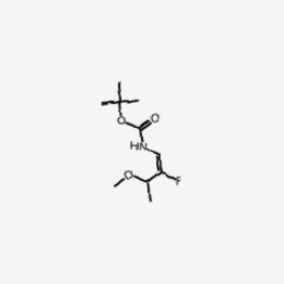 COC(C)/C(F)=C\NC(=O)OC(C)(C)C